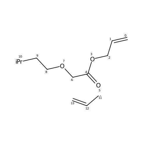 C=CCOC(=O)COCCC(C)C.[CH2]C=C